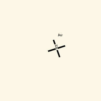 C[PH](C)(C)C.[Au]